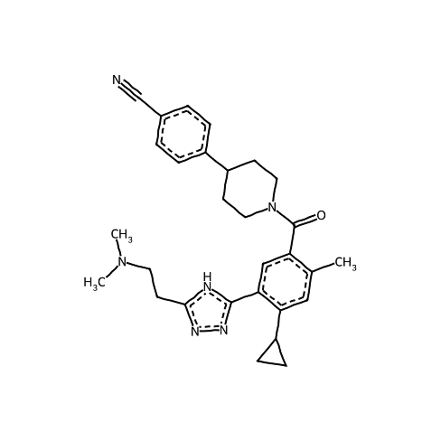 Cc1cc(C2CC2)c(-c2nnc(CCN(C)C)[nH]2)cc1C(=O)N1CCC(c2ccc(C#N)cc2)CC1